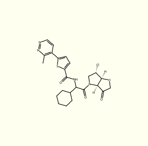 Cc1nnccc1-c1ccc(C(=O)NC(C(=O)N2C[C@H](Cl)[C@H]3OCC(=O)[C@H]32)C2CCCCC2)s1